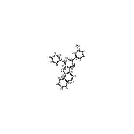 Brc1cccc(-c2nc(-c3ccccc3)c3oc4c5ccccc5ccc4c3n2)c1